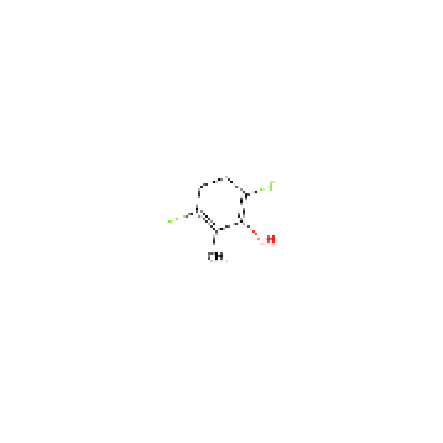 CC1=C(F)CCC(F)=C1O